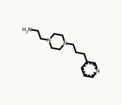 NCCN1CCN(CCCc2cccnc2)CC1